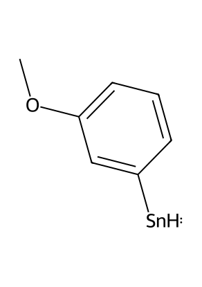 COc1ccc[c]([SnH])c1